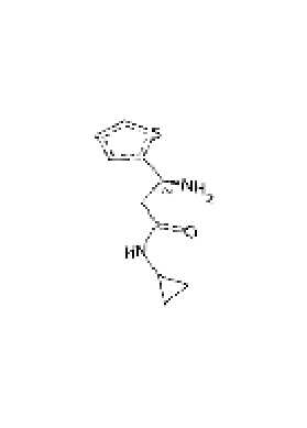 N[C@@H](CC(=O)NC1CC1)c1cccs1